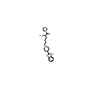 NC(CCCCN1CCC(c2nc3ccccc3[nH]2)CC1)C(=O)N1CCSC1